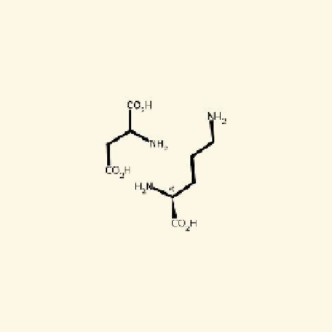 NC(CC(=O)O)C(=O)O.NCCC[C@H](N)C(=O)O